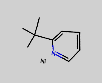 CC(C)(C)c1ccccn1.[Ni]